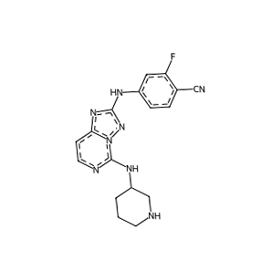 N#Cc1ccc(Nc2nc3ccnc(NC4CCCNC4)n3n2)cc1F